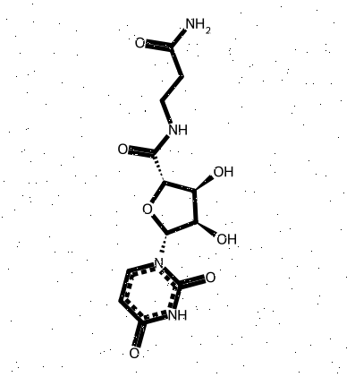 NC(=O)CCNC(=O)[C@H]1O[C@@H](n2ccc(=O)[nH]c2=O)[C@H](O)[C@@H]1O